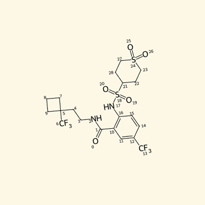 O=C(NCCC1(C(F)(F)F)CCC1)c1cc(C(F)(F)F)ccc1NS(=O)(=O)C1CCS(=O)(=O)CC1